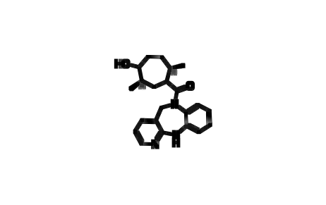 C[C@@H]1CC(C(=O)N2Cc3cccnc3Nc3ccccc32)[C@H](C)CCC1O